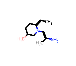 BC1CCC(=CC)N(/C=C(\C)N)C1